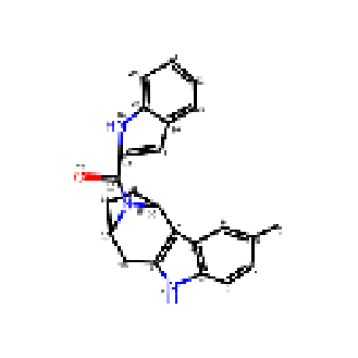 Cc1ccc2[nH]c3c(c2c1)C1CCC(C3)N1C(=O)c1cc2ccccc2[nH]1